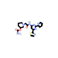 NC(=O)OC1CCCN(CC(=O)Nc2cc(-c3nccs3)nc(-c3ccccn3)n2)C1